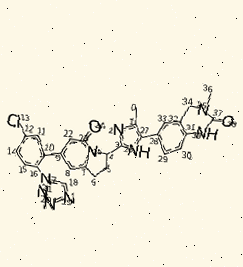 Cc1nc(C2CCc3cc(-c4cc(Cl)ccc4-n4cnnn4)cc(=O)n32)[nH]c1-c1ccc2c(c1)CN(C)C(=O)N2